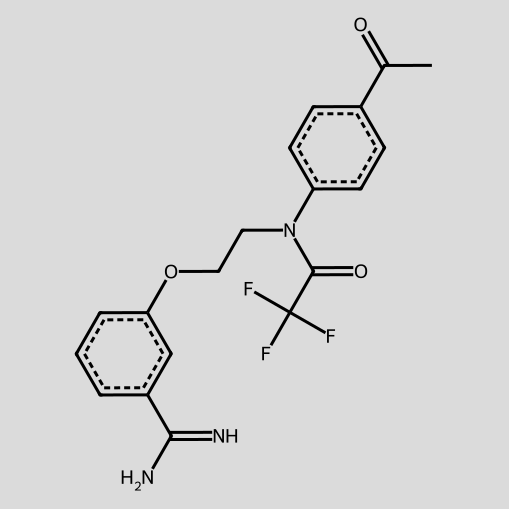 CC(=O)c1ccc(N(CCOc2cccc(C(=N)N)c2)C(=O)C(F)(F)F)cc1